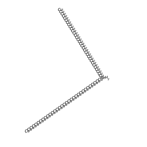 [BeH2].[Cu].[Cu].[Cu].[Cu].[Cu].[Cu].[Cu].[Cu].[Cu].[Cu].[Cu].[Cu].[Cu].[Cu].[Cu].[Cu].[Cu].[Cu].[Cu].[Cu].[Cu].[Cu].[Cu].[Cu].[Cu].[Cu].[Cu].[Cu].[Cu].[Cu].[Cu].[Cu].[Cu].[Cu].[Cu].[Cu].[Cu].[Cu].[Cu].[Cu].[Cu].[Cu].[Cu].[Cu].[Cu].[Cu].[Cu].[Cu].[Cu].[Cu].[Cu].[Cu].[Cu].[Cu].[Cu].[Cu].[Cu].[Cu].[Cu].[Cu].[Cu].[Cu].[Cu].[Cu]